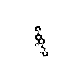 C[C@@H]1CCCN1CCN1CCc2cc(N3CCCC3)ccc2C1=O